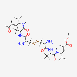 CCOC(=O)/C(C)=C/[C@H](C(C)C)N(C)C(=O)[C@@H](NC(=O)C(N)C(C)(C)SSC(C)(C)C(N)C(=O)N[C@H](C(=O)N(C)[C@H](/C=C(\C)C(C)=O)C(C)C)C(C)(C)C)C(C)(C)C